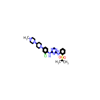 CC(C)S(=O)(=O)c1ccccc1Nc1ncnc(Nc2ccc(N3CCC(N4CCN(C)CC4)CC3)cc2Cl)n1